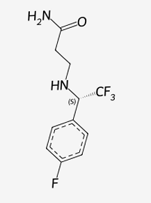 NC(=O)CCN[C@@H](c1ccc(F)cc1)C(F)(F)F